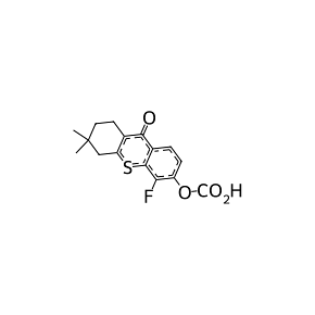 CC1(C)CCc2c(sc3c(F)c(OC(=O)O)ccc3c2=O)C1